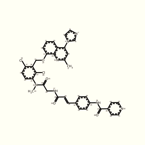 Cc1cc(-n2ccnc2)c2cccc(OCc3c(Cl)ccc(N(C)C(=O)CNC(=O)/C=C/c4ccc(NC(=O)c5ccncc5)cc4)c3Cl)c2n1